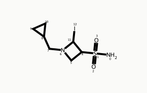 NS(=O)(=O)C1CN(CC2CC2)C1I